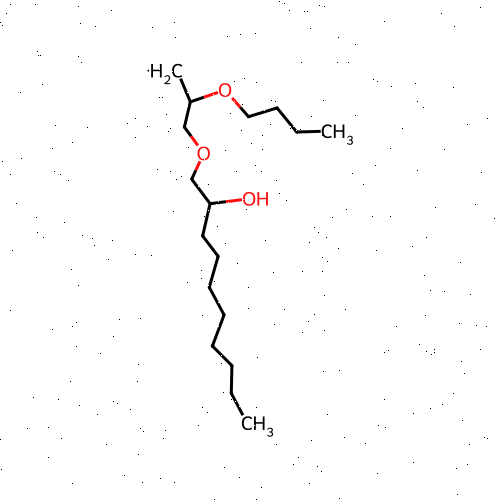 [CH2]C(COCC(O)CCCCCCCC)OCCCC